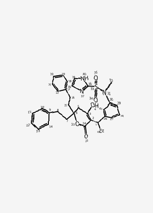 CCC(C1=C(O)CC(CCc2ccccc2)(CCc2ccccc2)OC1=O)c1cccc(N(C)S(=O)(=O)c2ncc[nH]2)c1